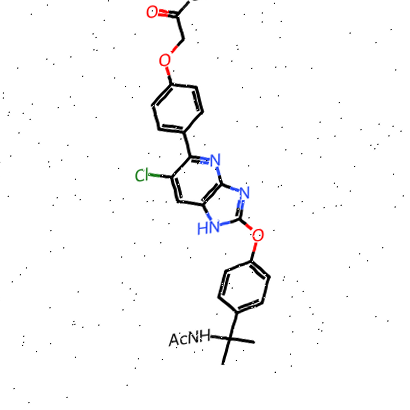 COC(=O)COc1ccc(-c2nc3nc(Oc4ccc(C(C)(C)NC(C)=O)cc4)[nH]c3cc2Cl)cc1